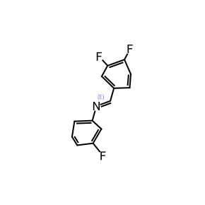 Fc1cccc(/N=C/c2ccc(F)c(F)c2)c1